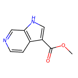 COC(=O)c1c[nH]c2cnccc12